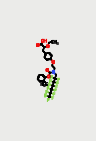 CCOC(Cc1ccc(OCCN(CC(F)(F)C(F)(F)C(F)(F)C(F)(F)C(F)(F)C(F)(F)F)C(=O)Oc2ccccc2C)cc1)C(=O)O